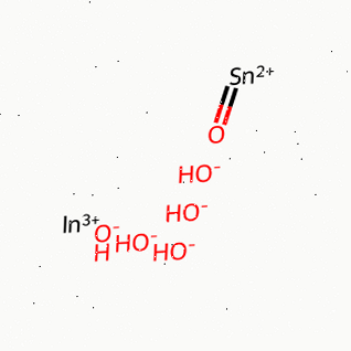 [In+3].[OH-].[OH-].[OH-].[OH-].[OH-].[O]=[Sn+2]